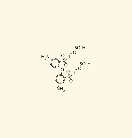 Nc1ccc(Oc2ccc(N)cc2S(=O)(=O)CCOS(=O)(=O)O)c(S(=O)(=O)CCOS(=O)(=O)O)c1